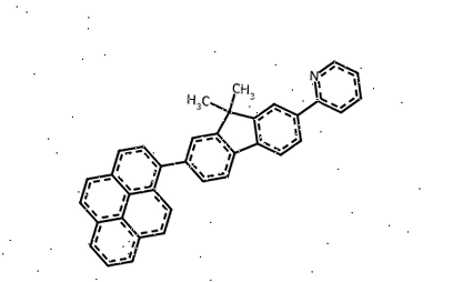 CC1(C)c2cc(-c3ccccn3)ccc2-c2ccc(-c3ccc4ccc5cccc6ccc3c4c56)cc21